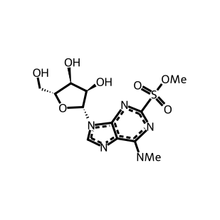 CNc1nc(S(=O)(=O)OC)nc2c1ncn2[C@@H]1O[C@H](CO)[C@@H](O)[C@H]1O